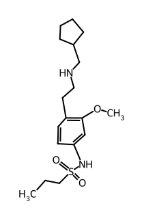 CCCS(=O)(=O)Nc1ccc(CCNCC2CCCC2)c(OC)c1